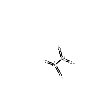 [O]=[Np](=[O])[Pu](=[O])=[O]